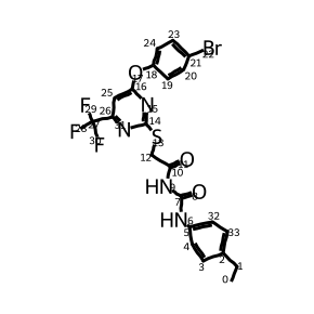 CCc1ccc(NC(=O)NC(=O)CSc2nc(Oc3ccc(Br)cc3)cc(C(F)(F)F)n2)cc1